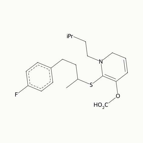 CC(C)CCN1CC=CC(OC(=O)O)=C1SC(C)CCc1ccc(F)cc1